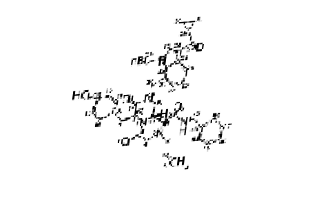 C=CCN1CC(=O)N2[C@@H](Cc3ccc(O)cc3)C(=O)N(Cc3cccc4c(C(=O)C5CC5)cn(CCCC)c34)C[C@@H]2N1C(=O)NCc1ccccc1